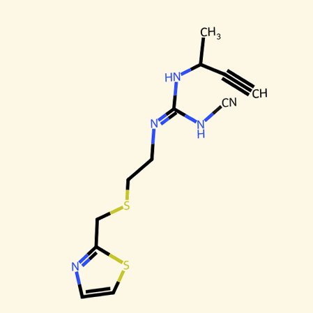 C#CC(C)NC(=NCCSCc1nccs1)NC#N